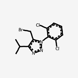 CC(C)c1nnn(-c2c(Cl)cccc2Cl)c1CBr